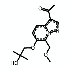 COCc1c(OCC(C)(C)O)ccc2c(C(C)=O)cnn12